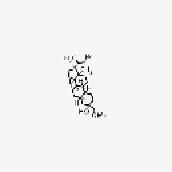 C=C(CBr)[C@H]1CC[C@H]2[C@@H]3CC[C@H]4C[C@](O)(COC)CC[C@@H]4[C@H]3CC[C@]12C